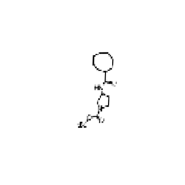 CC(C)(C)OC(=O)N1CC[C@@H](NC(=O)C2CCCCCCC2)C1